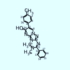 Cc1ccc(-c2cn3nc(N=C(c4ccccc4)N(C)C)nc3nc2O)cc1